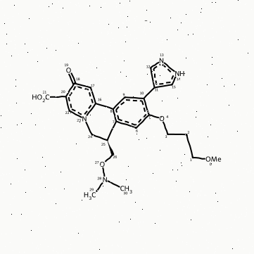 COCCCOc1cc2c(cc1-c1cn[nH]c1)-c1cc(=O)c(C(=O)O)cn1C[C@@H]2CON(C)C